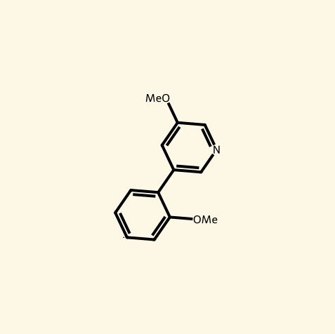 COc1cncc(-c2cc[c]cc2OC)c1